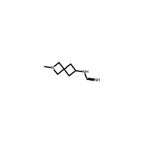 CN1CC2(CC(NC=N)C2)C1